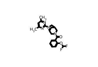 Cc1cc(C)nc(N2CC3CC2CN(C(=O)c2ccccc2OC(F)F)C3)n1